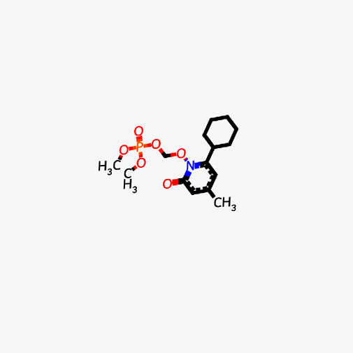 COP(=O)(OC)OCOn1c(C2CCCCC2)cc(C)cc1=O